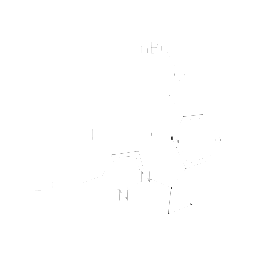 CCCCOCc1cccc(C2(n3nc(C(=O)OCC)c(F)c3C)CC2)c1